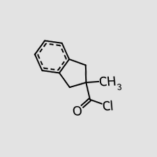 CC1(C(=O)Cl)Cc2ccccc2C1